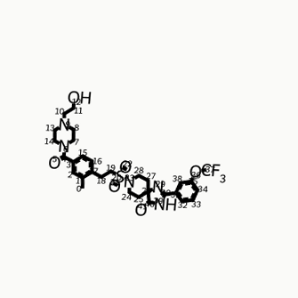 Cc1cc(C(=O)N2CCN(CCO)CC2)ccc1CCS(=O)(=O)N1CCC2(CC1)N=C(c1cccc(OC(F)(F)F)c1)NC2=O